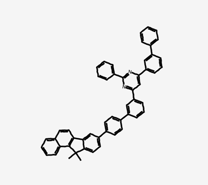 CC1(C)c2ccc(-c3ccc(-c4cccc(-c5cc(-c6cccc(-c7ccccc7)c6)nc(-c6ccccc6)n5)c4)cc3)cc2-c2ccc3ccccc3c21